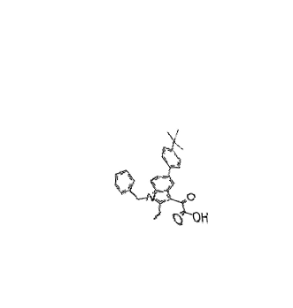 CCc1c(C(=O)C(=O)O)c2cc(-c3ccc(C(C)(C)C)cc3)ccc2n1Cc1ccccc1